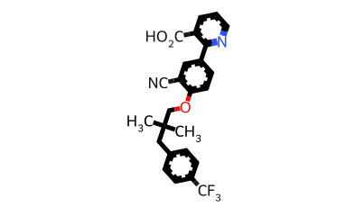 CC(C)(COc1ccc(-c2ncccc2C(=O)O)cc1C#N)Cc1ccc(C(F)(F)F)cc1